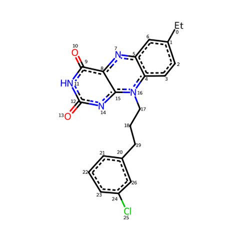 CCc1ccc2c(c1)nc1c(=O)[nH]c(=O)nc-1n2CCCc1cccc(Cl)c1